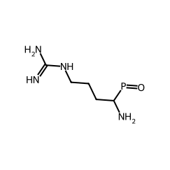 N=C(N)NCCCC(N)P=O